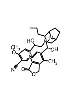 COc1cc(C(O)CN2CC3CCC(C2CCI)N3C[C@H](O)c2ccc3c(c2C)COC3=O)ncc1C#N